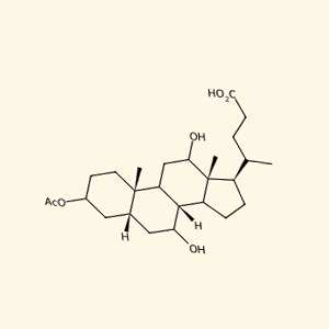 CC(=O)OC1CC[C@]2(C)C3CC(O)[C@@]4(C)C(CC[C@@H]4C(C)CCC(=O)O)[C@@H]3C(O)C[C@@H]2C1